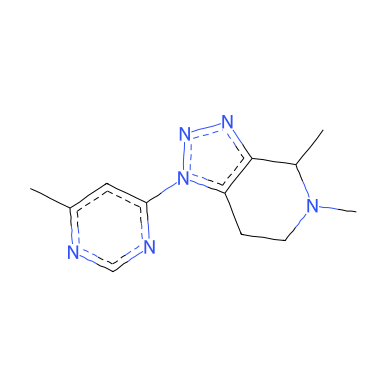 Cc1cc(-n2nnc3c2CCN(C)C3C)ncn1